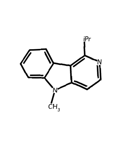 CC(C)c1nccc2c1c1ccccc1n2C